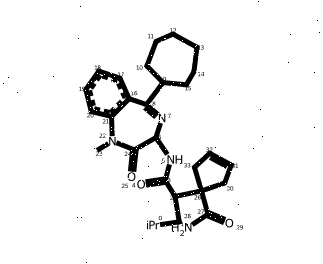 CC(C)CC(C(=O)NC1N=C(C2CCCCCC2)c2ccccc2N(C)C1=O)C1(C(N)=O)CC=CC1